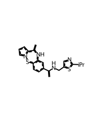 C=C(NCc1cnc(C(C)C)s1)c1ccc2sn3cccc3c(=C)[nH]c2c1